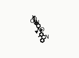 Cc1cc(C(=O)N(C2CC2)C2CCc3nn(C(=O)OC(C)(C)C)cc3C2)cc(C)c1-c1ccccc1C#N